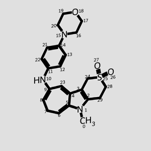 Cn1c2c(c3c1=CCC=C(Nc1ccc(N4CCOCC4)cc1)C=3)CS(=O)(=O)CC2